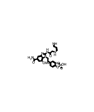 COc1cc(C(N)=O)cc2nc(NC(=O)CN/C=C\C=N)n(CCc3ccc(OP(=O)(O)O)cc3)c12